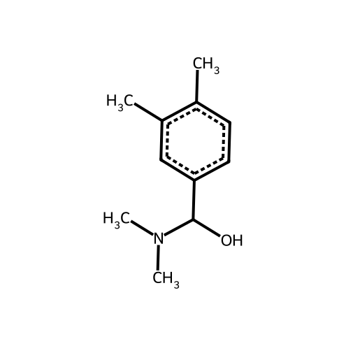 Cc1ccc(C(O)N(C)C)cc1C